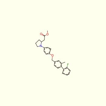 COC(=O)CC1CCCN1c1ccc(OCc2ccc(-c3ccccc3F)c(C)c2)cc1